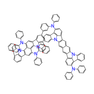 c1ccc(N(c2ccccc2)c2ccc3c4cc5cc6c(cc5cc4n4c5ccccc5c2c34)c2ccc(N(c3ccccc3)c3cccc(-c4cc5c7ccccc7n7c5c(c4)c4cc(N(c5ccccc5)c5ccccc5)c5c(c(N(c8ccccc8)c8ccccc8)cc8c9cccc%10c%11ccccc%11n(c%109)c85)c47)c3)c3c4ccccc4n6c23)cc1